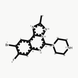 Cc1nc2c3cc(Br)c(F)cc3nc(N3CCNCC3)n2n1